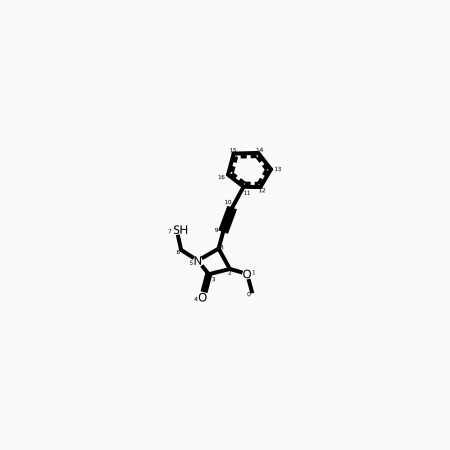 COC1C(=O)N(CS)C1C#Cc1ccccc1